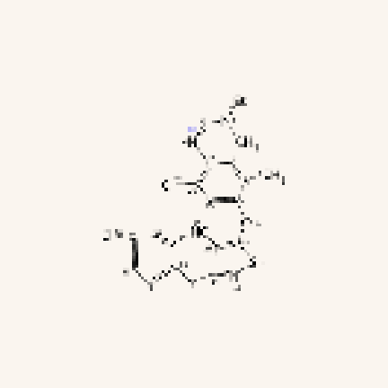 CCN(C)/C=N\c1cc(C)c(Oc2snc(Cc3ccc(Cl)cc3)c2C#N)cc1Cl